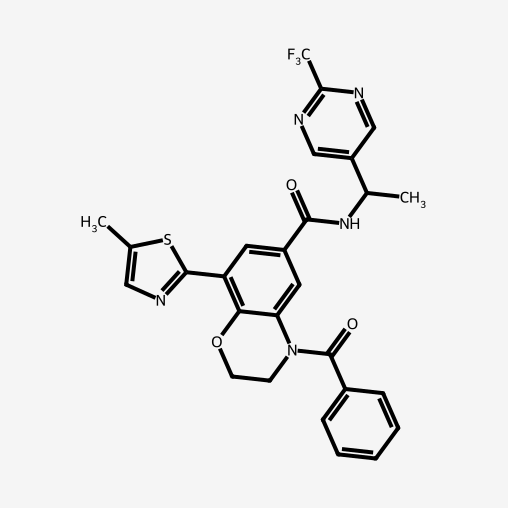 Cc1cnc(-c2cc(C(=O)NC(C)c3cnc(C(F)(F)F)nc3)cc3c2OCCN3C(=O)c2ccccc2)s1